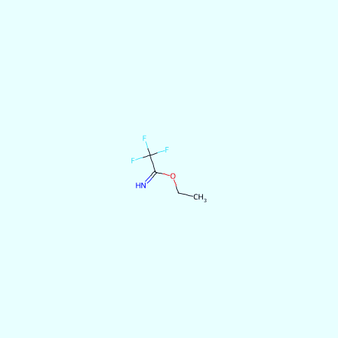 CCOC(=N)C(F)(F)F